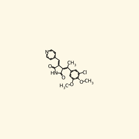 COc1cc(C(C)=C2C(=O)NC(=O)C2=Cc2ccncc2)cc(Cl)c1OC